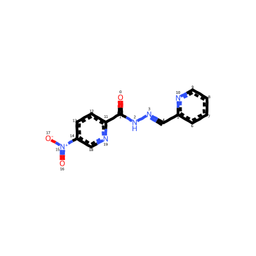 O=C(NN=Cc1ccccn1)c1ccc([N+](=O)[O-])cn1